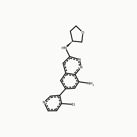 CCc1ccncc1-c1cc(N)c2nnc(N[C@H]3CCOC3)cc2c1